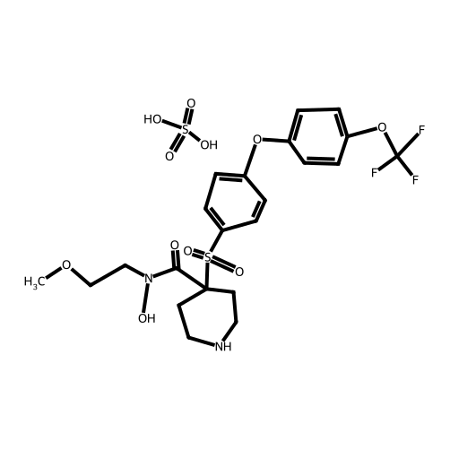 COCCN(O)C(=O)C1(S(=O)(=O)c2ccc(Oc3ccc(OC(F)(F)F)cc3)cc2)CCNCC1.O=S(=O)(O)O